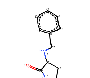 O=C1NCCC1NCc1ccccc1